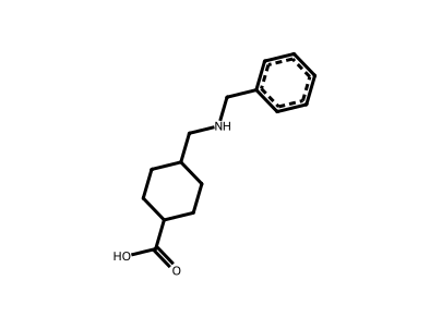 O=C(O)C1CCC(CNCc2ccccc2)CC1